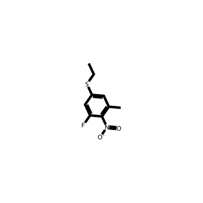 CCSc1cc(C)c([N+](=O)[O-])c(F)c1